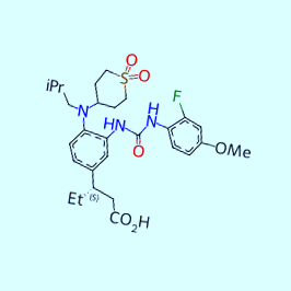 CC[C@@H](CC(=O)O)c1ccc(N(CC(C)C)C2CCS(=O)(=O)CC2)c(NC(=O)Nc2ccc(OC)cc2F)c1